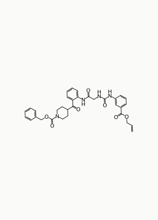 C=CCOC(=O)c1cccc(NC(=O)NCC(=O)Nc2ccccc2C(=O)C2CCN(C(=O)OCc3ccccc3)CC2)c1